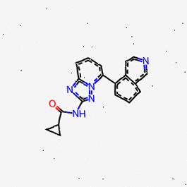 O=C(Nc1nc2cccc(-c3cccc4cnccc34)n2n1)C1CC1